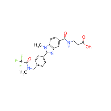 CN(Cc1ccc(-c2nc3cc(C(=O)NCCC(=O)O)ccc3n2C)cc1)C(=O)C(F)(F)F